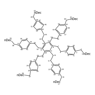 CCCCCCCCCCCc1ccc(CCc2c(CCc3ccc(CCCCCCCCCCC)cc3)c(CCc3ccc(CCCCCCCCCCC)cc3)c(CCc3ccc(CCCCCCCCCCC)cc3)c(CCc3ccc(CCCCCCCCCCC)cc3)c2CCc2ccc(CCCCCCCCCCC)cc2)cc1